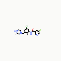 Cc1c(CN2CCN[C@@H](C)C2)cc(Cl)cc1NC(=O)c1cncc(F)c1